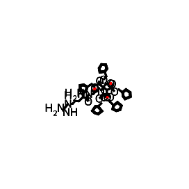 N=C(N)NCCC[C@H](N)C(=O)NCC(=O)N(C(=O)OCc1ccccc1)C(C(=O)OCc1ccccc1)(C(=O)OCc1ccccc1)C(C(=O)OCc1ccccc1)C(=O)OCc1ccccc1